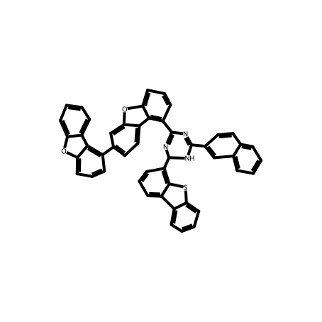 c1ccc2cc(C3=NC(c4cccc5oc6cc(-c7cccc8oc9ccccc9c78)ccc6c45)=NC(c4cccc5c4sc4ccccc45)N3)ccc2c1